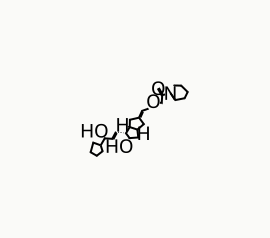 O=C(COC/C=C1\C[C@H]2C[C@@H](O)[C@H](/C=C/[C@@H](O)C3CCCC3)[C@H]2C1)N1CCCCC1